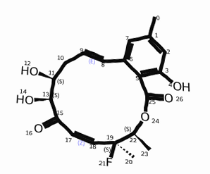 Cc1cc(O)c2c(c1)/C=C/C[C@H](O)[C@H](O)C(=O)/C=C\[C@](C)(F)[C@H](C)OC2=O